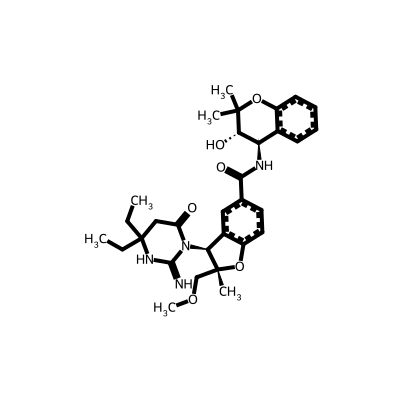 CCC1(CC)CC(=O)N([C@H]2c3cc(C(=O)N[C@@H]4c5ccccc5OC(C)(C)[C@H]4O)ccc3O[C@]2(C)COC)C(=N)N1